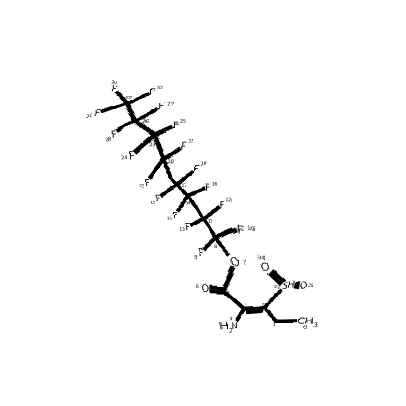 CCC(=C(N)C(=O)OC(F)(F)C(F)(F)C(F)(F)C(F)(F)C(F)(F)C(F)(F)C(F)(F)C(F)(F)F)[SH](=O)=O